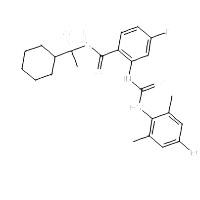 CCc1cc(C)c(NC(=O)Nc2cc(F)ccc2C(=O)N[C@](C)(C(=O)O)C2CCCCC2)c(C)c1